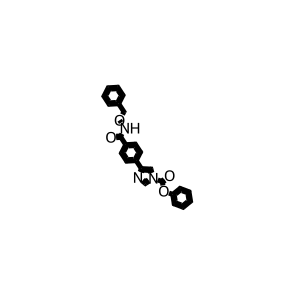 O=C(NOCc1ccccc1)c1ccc(-c2cn(C(=O)Oc3ccccc3)cn2)cc1